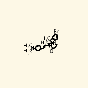 CN(C)c1ccc(/C=C/C=C/C23NC(=O)CCN2c2ccc(Br)cc2C3(C)C)cc1